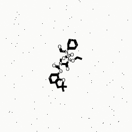 CCON(C(=O)N(C)C(=O)Oc1cccc2c1OC(C)(C)C2)S(=O)(=O)N(C=O)c1ccccc1